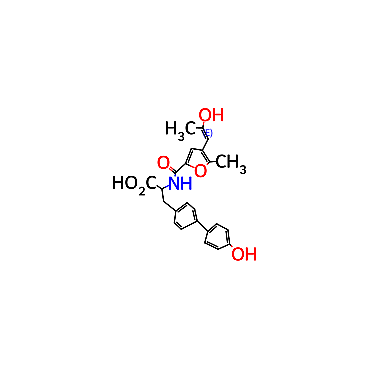 C/C(O)=C\c1cc(C(=O)NC(Cc2ccc(-c3ccc(O)cc3)cc2)C(=O)O)oc1C